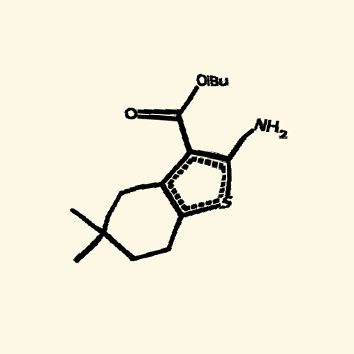 CC(C)COC(=O)c1c(N)sc2c1CC(C)(C)CC2